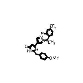 COc1ccc(Cc2nc(-c3cnn([C@@H](C)c4ccc(C(F)(F)F)cc4F)c3)cc(=O)[nH]2)cc1